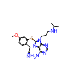 COc1ccc(CC#N)c(Sc2nc3c(N)ncnc3n2CCCNC(C)C)c1